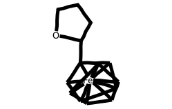 C1COC([C]23[CH]4[CH]5[CH]6[CH]2[Fe]56432789[CH]3[CH]2[CH]7[CH]8[CH]39)C1